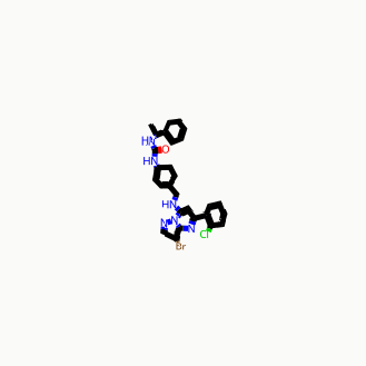 CC(NC(=O)NC1=CC=C(CNc2cc(C3=C(Cl)CCC=C3)nc3c(Br)cnn23)CC1)C1=CC=CCC1